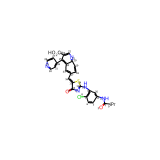 CC(C)C(=O)Nc1ccc(Cl)c(NC2=NC(=O)/C(=C/c3ccc4ncc(C(=O)O)c(-c5ccncc5)c4c3)S2)c1